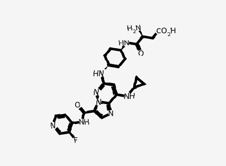 N[C@@H](CC(=O)O)C(=O)N[C@H]1CC[C@H](Nc2cc(NC3CC3)c3ncc(C(=O)Nc4ccncc4F)n3n2)CC1